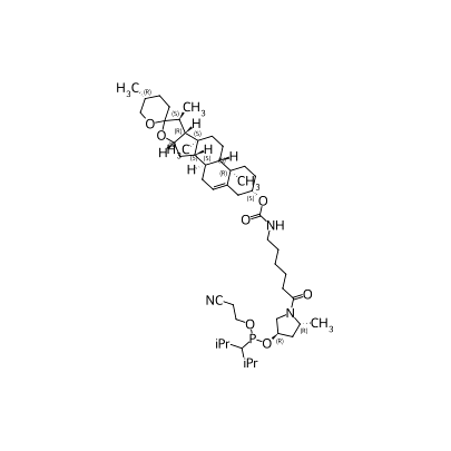 CC(C)C(C(C)C)P(OCCC#N)O[C@@H]1C[C@@H](C)N(C(=O)CCCCCNC(=O)O[C@H]2CC[C@@]3(C)C(=CC[C@H]4[C@@H]5C[C@@H]6OC7(CC[C@@H](C)CO7)[C@@H](C)[C@@H]6[C@@]5(C)CC[C@@H]43)C2)C1